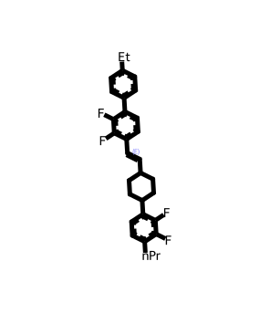 CCCc1ccc(C2CCC(/C=C/c3ccc(-c4ccc(CC)cc4)c(F)c3F)CC2)c(F)c1F